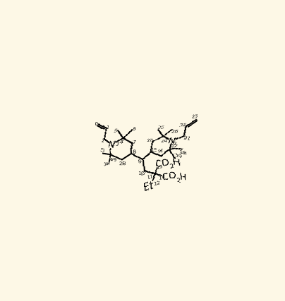 C=CCN1C(C)(C)CC(C(CC(CC)(C(=O)O)C(=O)O)C2CC(C)(C)N(CC=C)C(C)(C)C2)CC1(C)C